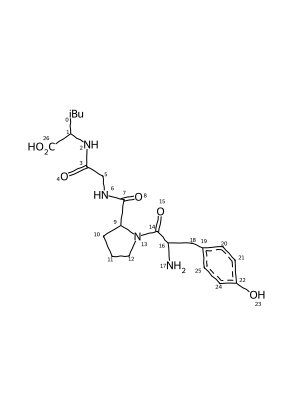 CCC(C)C(NC(=O)CNC(=O)C1CCCN1C(=O)C(N)Cc1ccc(O)cc1)C(=O)O